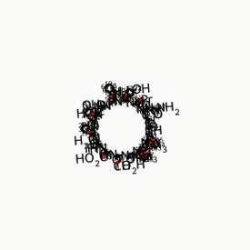 CCCC[C@H]1C(=O)N[C@H](CCC(=O)O)C(=O)N[C@@H](CC(=O)O)C(=O)N[C@@H](C(C)C)C(=O)N(C)C(Cc2ccccc2)C(=O)N[C@@H](Cc2ccc(O)cc2)C(=O)N(C)CC(=O)N[C@@H](Cc2c[nH]c3ccccc23)C(=O)N[C@@H](Cc2ccc(O)cc2)C(=O)N[C@@H](CC(C)C)C(=O)N[C@H](C(=O)NCC(N)=O)CSCC(=O)N[C@@H](Cc2ccccc2)C(=O)N(C)[C@@H](Cc2ccccc2)C(=O)N1C